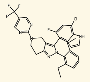 CCc1cccc(CC)c1-n1nc2c(c1-c1c(F)cc(Cl)c3[nH]ccc13)CN(c1ncc(C(F)(F)F)cn1)CC2